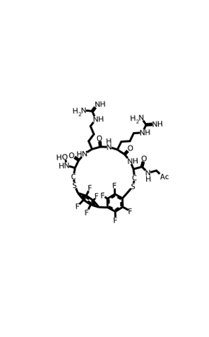 CC(=O)CNC(=O)C1CSc2c(F)c(F)c(c(F)c2F)-c2c(F)c(F)c(c(F)c2F)SCC(NO)C(=O)NC(CCCNC(=N)N)C(=O)NC(CCCNC(=N)N)C(=O)N1